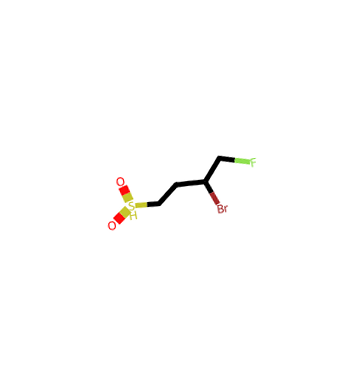 O=[SH](=O)CCC(Br)CF